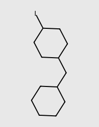 IC1CCC(CC2CCCCC2)CC1